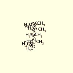 CO[Si](CC(C)(C)C[S][Sn]([CH3])([CH3])[S]CC(C)(C)C[Si](OC)(OC)OC)(OC)OC